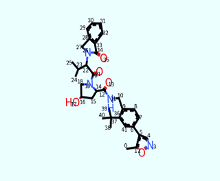 Cc1oncc1-c1ccc(CNC(=O)C2CC(O)CN2C(=O)C(C(C)C)N2Cc3ccccc3C2=O)c(C(C)(C)C)c1